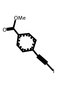 COC(=O)c1ccc(C#CI)cc1